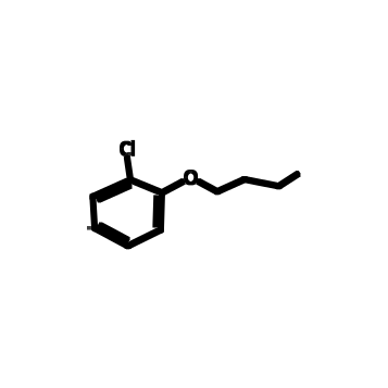 CCCCOc1cc[c]cc1Cl